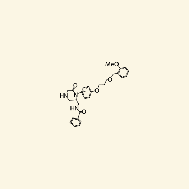 COc1ccccc1COCCCOc1ccc(N2C(=O)CNC[C@@H]2CNC(=O)c2ccccc2)cc1